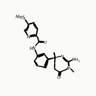 CSc1ccc(C(=O)Nc2cccc(C3(C)CC(=O)N(C)C(N)=N3)c2)nc1